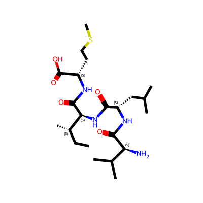 CC[C@H](C)[C@H](NC(=O)[C@H](CC(C)C)NC(=O)[C@@H](N)C(C)C)C(=O)N[C@@H](CCSC)C(=O)O